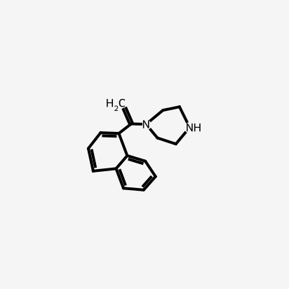 C=C(c1cccc2ccccc12)N1CCNCC1